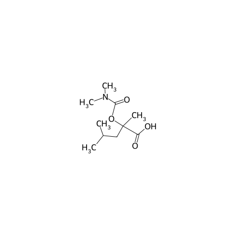 CC(C)CC(C)(OC(=O)N(C)C)C(=O)O